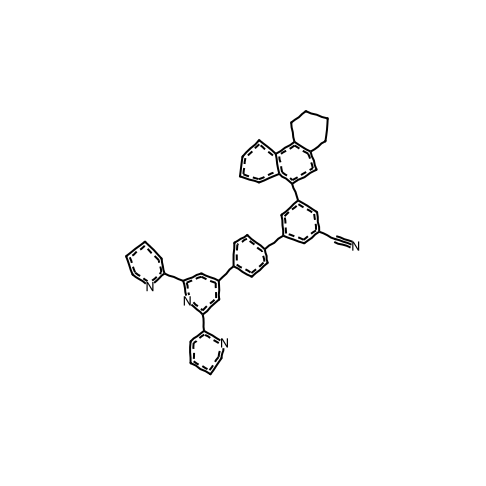 N#Cc1cc(-c2ccc(-c3cc(-c4ccccn4)nc(-c4ccccn4)c3)cc2)cc(-c2cc3c(c4ccccc24)CCCC3)c1